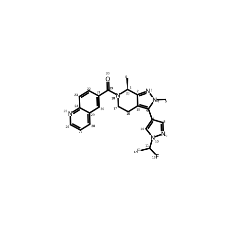 C[C@H]1c2nn(C)c(-c3cnn(C(F)F)c3)c2CCN1C(=O)c1ccc2ncccc2c1